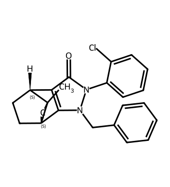 CC12C[C@@]13CC[C@@H]2c1c3n(Cc2ccccc2)n(-c2ccccc2Cl)c1=O